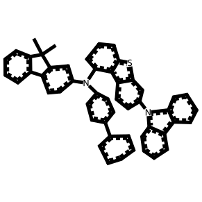 CC1(C)c2ccccc2-c2ccc(N(c3ccc(-c4ccccc4)cc3)c3cccc4sc5cc(-n6c7ccccc7c7ccccc76)ccc5c34)cc21